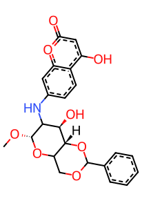 CO[C@H]1OC2COC(c3ccccc3)O[C@H]2[C@H](O)C1Nc1ccc2c(O)cc(=O)oc2c1